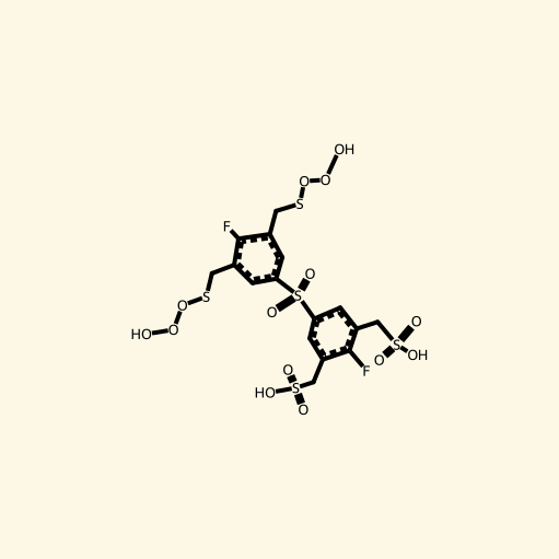 O=S(=O)(O)Cc1cc(S(=O)(=O)c2cc(CSOOO)c(F)c(CSOOO)c2)cc(CS(=O)(=O)O)c1F